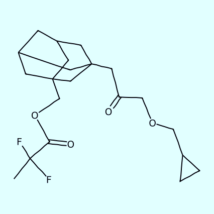 CC(F)(F)C(=O)OCC12CC3CC(C1)CC(CC(=O)COCC1CC1)(C3)C2